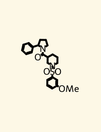 COc1cccc(S(=O)(=O)N2CCCC(C(=O)N3CCCC3c3ccccc3)C2)c1